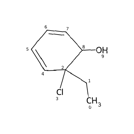 CCC1(Cl)C=CC=CC1O